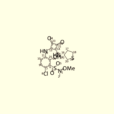 CON(C)S(=O)(=O)c1c(Cl)ccc(Nc2c(N[C@@H]3CCSC3)c(=O)c2=O)c1O